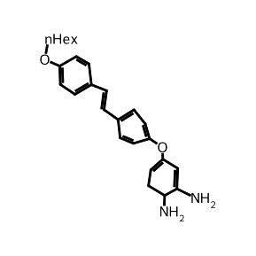 CCCCCCOc1ccc(C=Cc2ccc(OC3=CCC(N)C(N)=C3)cc2)cc1